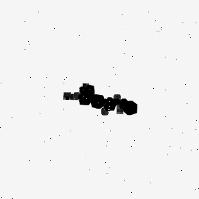 COc1ccc(-c2ccc(N3CC(C(=O)NCc4ccccc4)CC3=O)cc2)c2ccncc12